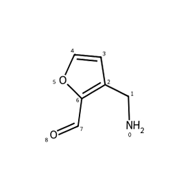 NCc1ccoc1C=O